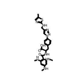 CNc1cc(NC)c(C(=O)NC(Cc2ccc(-n3cc(CNc4ncc(C)s4)nn3)cc2)C(=O)O)c(NC)c1